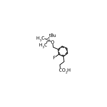 CC(C)(C)[Si](C)(C)OCc1cccc(CCC(=O)O)c1F